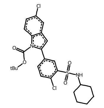 CC(C)(C)OC(=O)n1c(-c2ccc(Cl)c(S(=O)(=O)NC3CCCCC3)c2)cc2cc(Cl)ccc21